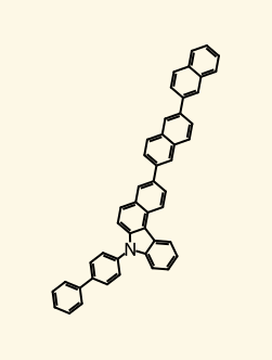 c1ccc(-c2ccc(-n3c4ccccc4c4c5ccc(-c6ccc7cc(-c8ccc9ccccc9c8)ccc7c6)cc5ccc43)cc2)cc1